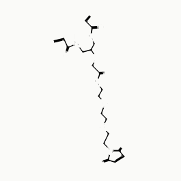 C=CC(=O)NCC(CNC(=O)C=C)OCC(=O)NCCOCCOCCN1C(=O)C=CC1=O